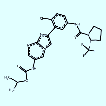 CC(C)OC(=O)Nc1cnc2nc(-c3cc(NC(=O)N4CCC[C@@H]4C(F)(F)F)ccc3Cl)cn2c1